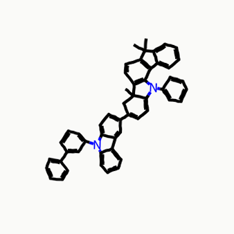 CC12CC(c3ccc4c(c3)c3ccccc3n4-c3cccc(-c4ccccc4)c3)=CC=C1N(c1ccccc1)c1c2ccc2c1-c1ccccc1C2(C)C